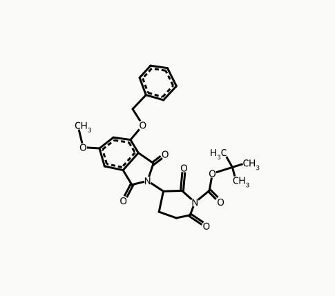 COc1cc(OCc2ccccc2)c2c(c1)C(=O)N(C1CCC(=O)N(C(=O)OC(C)(C)C)C1=O)C2=O